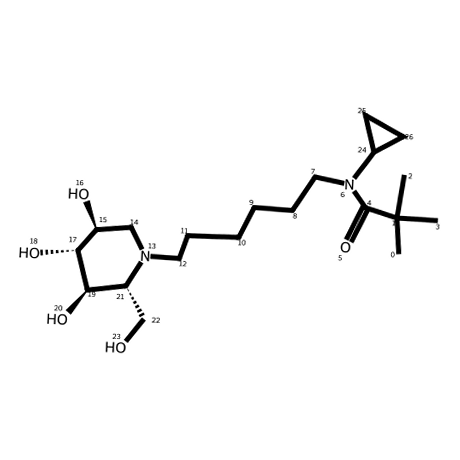 CC(C)(C)C(=O)N(CCCCCCN1C[C@H](O)[C@@H](O)[C@H](O)[C@H]1CO)C1CC1